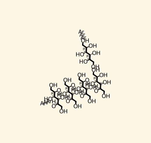 OC[C@@H](O)[C@@H](O)[C@H](O)[C@H](O)CO.OC[C@@H](O)[C@@H](O)[C@H](O)[C@H](O)CO.OC[C@@H](O)[C@@H](O)[C@H](O)[C@H](O)CO.OC[C@@H](O)[C@@H](O)[C@H](O)[C@H](O)CO.OC[C@@H](O)[C@@H](O)[C@H](O)[C@H](O)CO.[Ar].[Ar].[Ar].[Ar].[Ar].[Ar]